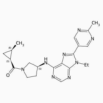 CCn1c(-c2cnc(C)nc2)nc2c(N[C@H]3CCN(C(=O)[C@H]4C[C@H]4C)C3)ncnc21